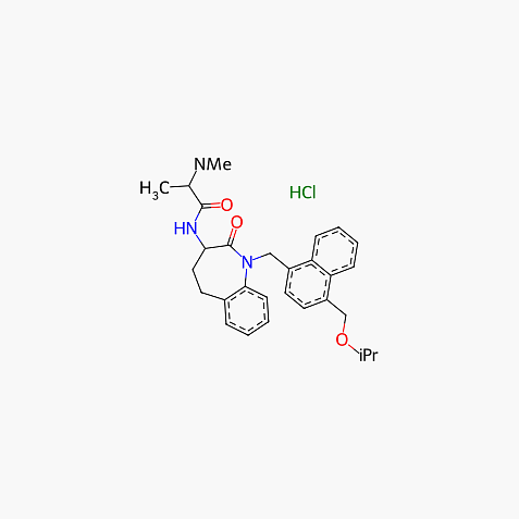 CNC(C)C(=O)NC1CCc2ccccc2N(Cc2ccc(COC(C)C)c3ccccc23)C1=O.Cl